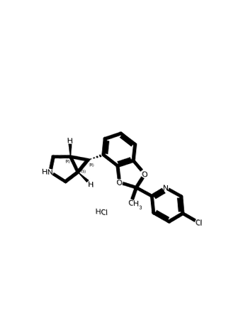 CC1(c2ccc(Cl)cn2)Oc2cccc([C@@H]3[C@@H]4CNC[C@@H]43)c2O1.Cl